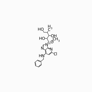 CO[C@@H](C(O)C(O)C(C)CO)n1cnc2c(NCc3ccccc3)cc(Cl)nc21